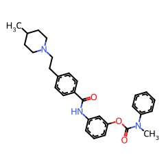 CC1CCN(CCc2ccc(C(=O)Nc3cccc(OC(=O)N(C)c4ccccc4)c3)cc2)CC1